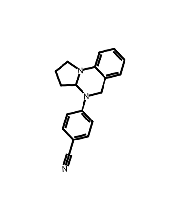 N#Cc1ccc(N2Cc3ccccc3N3CCCC23)cc1